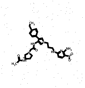 CCc1ccc(-c2cn(CCCNc3ccc([N+](=O)[O-])c(N)n3)cc2NC(=O)CN2CC[C@H](NC(C)=O)C2)cc1